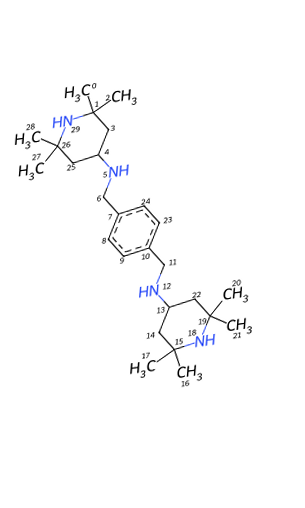 CC1(C)CC(NCc2ccc(CNC3CC(C)(C)NC(C)(C)C3)cc2)CC(C)(C)N1